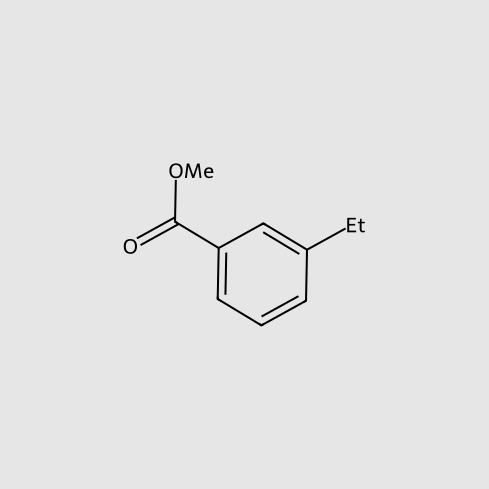 CCc1cccc(C(=O)OC)c1